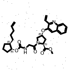 C=CCCC[C@@H]1CCC[C@H]1OC(=O)NCC(=O)N1C[C@H](Oc2cc3ccccc3nc2C=C)C[C@H]1C(=O)OC